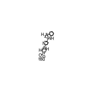 CC(C)(C)OC(=O)N1C[C@@H]2C[C@H]1CN2c1ccc(C(=O)Nc2ccccc2N)cn1